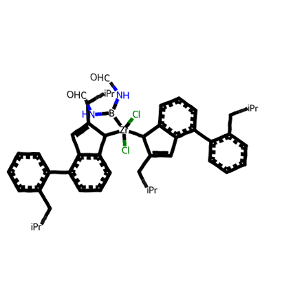 CC(C)CC1=Cc2c(-c3ccccc3CC(C)C)cccc2[CH]1[Zr]([Cl])([Cl])([B](NC=O)NC=O)[CH]1C(CC(C)C)=Cc2c(-c3ccccc3CC(C)C)cccc21